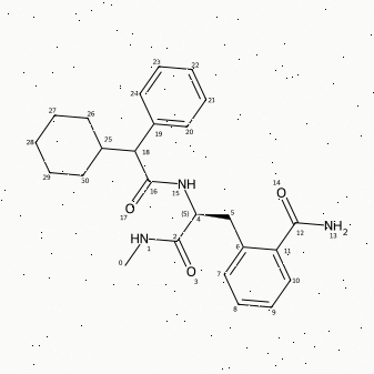 CNC(=O)[C@H](Cc1ccccc1C(N)=O)NC(=O)C(c1ccccc1)C1CCCCC1